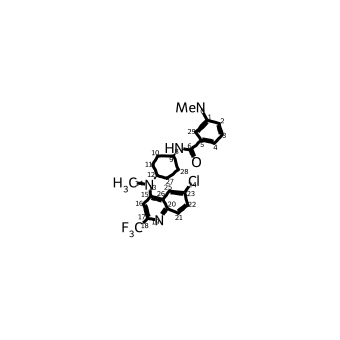 CNc1cccc(C(=O)N[C@H]2CC[C@@H](N(C)c3cc(C(F)(F)F)nc4ccc(Cl)cc34)CC2)c1